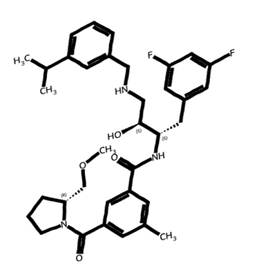 COC[C@H]1CCCN1C(=O)c1cc(C)cc(C(=O)N[C@@H](Cc2cc(F)cc(F)c2)[C@@H](O)CNCc2cccc(C(C)C)c2)c1